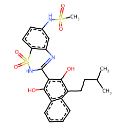 CC(C)CCc1c(O)c(C2=Nc3cc(NS(C)(=O)=O)ccc3S(=O)(=O)N2)c(O)c2ccccc12